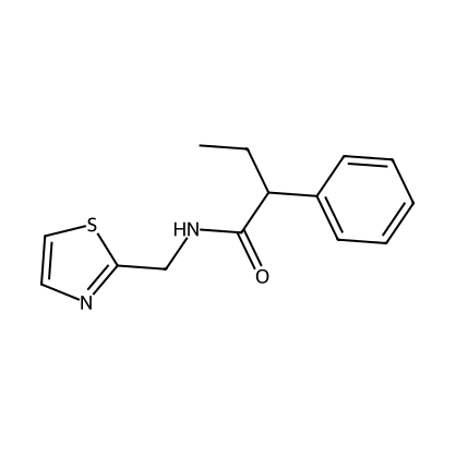 CCC(C(=O)NCc1nccs1)c1ccccc1